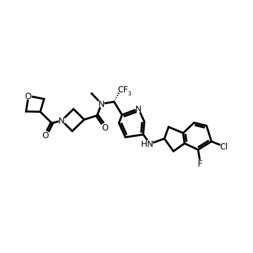 CN(C(=O)C1CN(C(=O)C2COC2)C1)[C@@H](c1ccc(NC2Cc3ccc(Cl)c(F)c3C2)cn1)C(F)(F)F